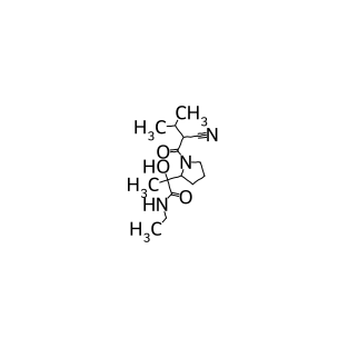 CCNC(=O)C(C)(O)C1CCCN1C(=O)C(C#N)C(C)C